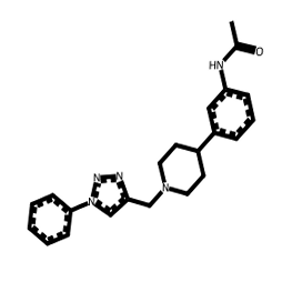 CC(=O)Nc1cccc(C2CCN(Cc3cn(-c4ccccc4)nn3)CC2)c1